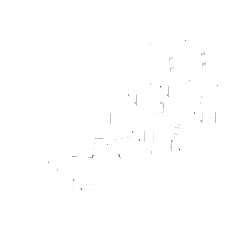 CS(=N)(=O)CC12CC(C1)[C@H](Nc1nonc1/C(=N\O)NC1Cc3ccc(F)cc31)C2